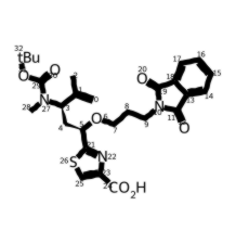 C=C(C)[C@@H](C[C@@H](OCCCN1C(=O)c2ccccc2C1=O)c1nc(C(=O)O)cs1)N(C)C(=O)OC(C)(C)C